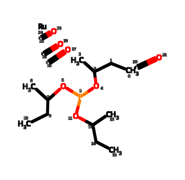 CCC(C)OP(OC(C)CC)OC(C)CC.[C]=O.[C]=O.[C]=O.[C]=O.[Ru]